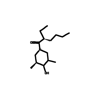 CCCC[C@@H](CC)C(=O)N1CC(C)C(O)[C@@H](C)C1